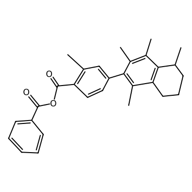 Cc1cc(-c2c(C)c(C)c3c(c2C)CCCC3C)ccc1C(=O)OC(=O)c1ccccc1